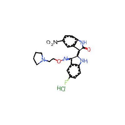 Cl.O=C1Nc2ccc([N+](=O)[O-])cc2/C1=C1/Nc2ccc(F)cc2/C1=N\OCCN1CCCC1